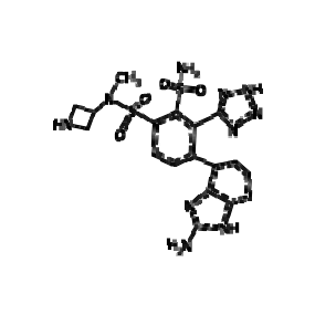 CN(C1CNC1)S(=O)(=O)c1ccc(-c2cccc3[nH]c(N)nc23)c(-c2nn[nH]n2)c1S(N)(=O)=O